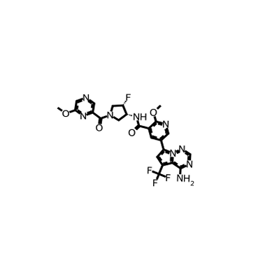 COc1cncc(C(=O)N2C[C@H](F)[C@H](NC(=O)c3cc(-c4cc(C(F)(F)F)c5c(N)ncnn45)cnc3OC)C2)n1